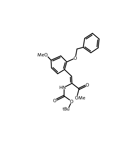 COC(=O)C(=Cc1ccc(OC)cc1OCc1ccccc1)NC(=O)OC(C)(C)C